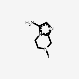 Nc1cnc2n1CCN(I)C2